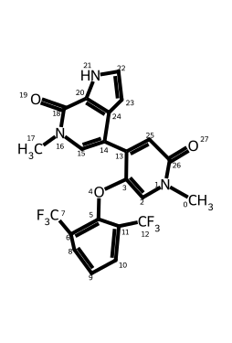 Cn1cc(Oc2c(C(F)(F)F)cccc2C(F)(F)F)c(-c2cn(C)c(=O)c3[nH]ccc23)cc1=O